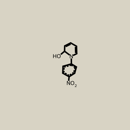 O=[N+]([O-])c1ccc(N2C=CC=CC2O)cc1